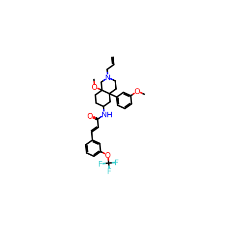 C=CCN1CCC2(c3cccc(OC)c3)CC(NC(=O)/C=C/c3cccc(OC(F)(F)F)c3)CCC2(OC)C1